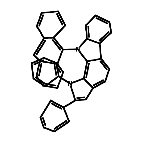 c1ccc(-c2cc3ccc4c5ccccc5n(-c5c6ccccc6cc6ccccc56)c4c3n2-c2ccccc2)cc1